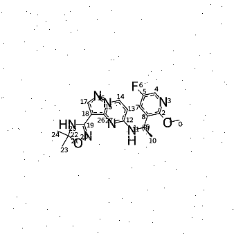 COc1ncc(F)cc1[C@@H](C)Nc1ccn2ncc(C3=NOC(C)(C)N3)c2n1